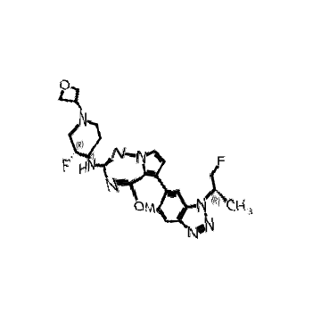 COc1nc(N[C@@H]2CCN(C3COC3)C[C@H]2F)nn2ccc(-c3ccc4nnn([C@H](C)CF)c4c3)c12